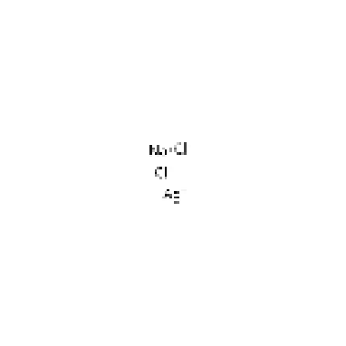 [Ag+].[Cl-].[Cl-].[Na+]